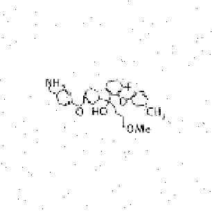 COCCCCC(O)(c1cccc(F)c1Oc1cccc(C)c1)[C@@H]1CCCN(C(=O)c2ccc(CN)cc2)C1